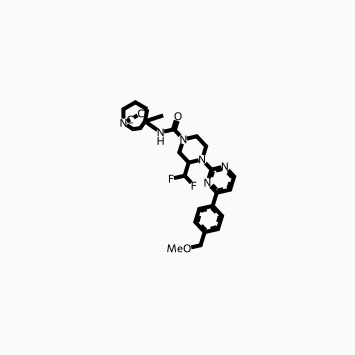 COCc1ccc(-c2ccnc(N3CCN(C(=O)NC4(C)CCN5CCC4CC5)CC3C(F)F)n2)cc1